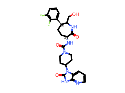 O=C1NC(CO)[C@H](c2cccc(F)c2F)CC[C@H]1NC(=O)N1CCC(n2c(=O)[nH]c3ncccc32)CC1